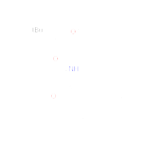 CC(C)(C)C(=O)ONC(=O)c1ccccc1